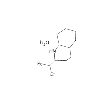 CCC(CC)C1CCC2CCCCC2N1.O